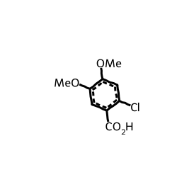 COc1cc(Cl)c(C(=O)O)cc1OC